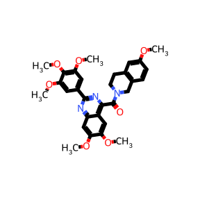 COc1ccc2c(c1)CCN(C(=O)c1nc(-c3cc(OC)c(OC)c(OC)c3)nc3cc(OC)c(OC)cc13)C2